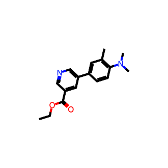 CCOC(=O)c1cncc(-c2ccc(N(C)C)c(C)c2)c1